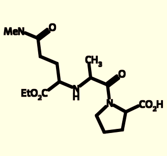 CCOC(=O)C(CCC(=O)NC)NC(C)C(=O)N1CCCC1C(=O)O